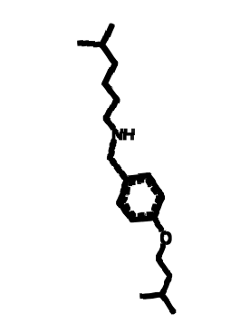 CC(C)CCCCNCc1ccc(OCCC(C)C)cc1